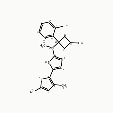 Cc1cc(C#N)sc1-c1nnc(N(C)C2(c3ncccc3F)CC(F)C2)s1